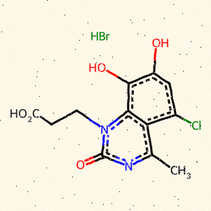 Br.Cc1nc(=O)n(CCC(=O)O)c2c(O)c(O)cc(Cl)c12